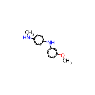 CNc1ccc(Nc2cccc(OC)c2)cc1